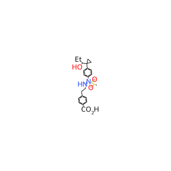 CCC(O)C1(c2ccc(N(NCCc3ccc(C(=O)O)cc3)S(C)(=O)=O)cc2)CC1